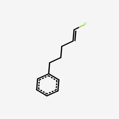 FC=CCCCc1ccccc1